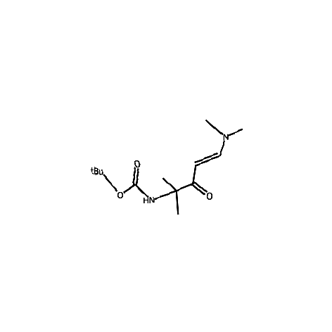 CN(C)/C=C/C(=O)C(C)(C)NC(=O)OC(C)(C)C